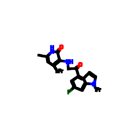 CCCc1cc(C)[nH]c(=O)c1NCC(=O)c1cc(F)cc2c1ccn2C(C)C